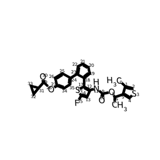 Cc1cscc1C(C)OC(=O)Nc1cc(F)sc1-c1ccccc1-c1ccc(OC(=O)C2CC2)cc1